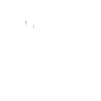 COC(=O)CCC1(CCC(C)(C)[C@]2(C)CC[C@H]3[C@H](C)C(=O)C(C#N)=C[C@]3(C)/C2=C/C(C)=O)CCC(C)(C)CC1